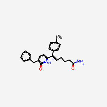 CC(C)(C)c1ccc(/C(=C\CCCC(N)=O)c2ccc(Cc3ccccc3)c(=O)[nH]2)cc1